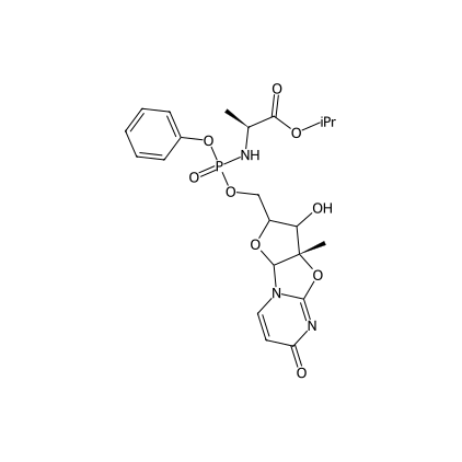 CC(C)OC(=O)[C@H](C)NP(=O)(OCC1OC2n3ccc(=O)nc3O[C@@]2(C)C1O)Oc1ccccc1